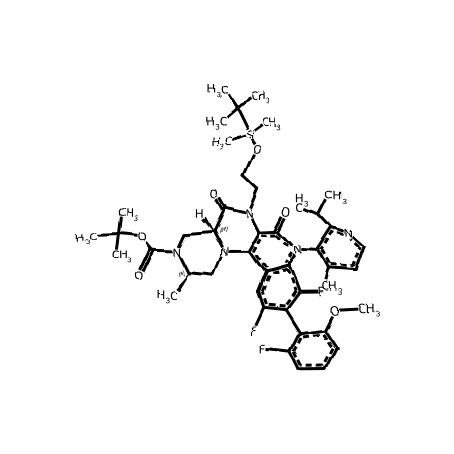 COc1cccc(F)c1-c1c(F)cc2c3c(c(=O)n(-c4c(C)ccnc4C(C)C)c2c1F)N(CCO[Si](C)(C)C(C)(C)C)C(=O)[C@H]1CN(C(=O)OC(C)(C)C)[C@H](C)CN31